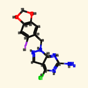 Nc1nc(Cl)c2cnn(Cc3cc4c(cc3I)OCO4)c2n1